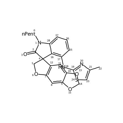 CCCCCN1C(=O)C2(COc3cc4c(cc32)OCO4)c2c(Nc3nc(C)cs3)cccc21